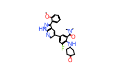 COc1ccccc1-c1n[nH]c2ncc(-c3cc(F)c(NC4CCC(=O)CC4)c(C(=O)N(C)C)c3)cc12